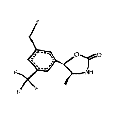 C[C@@H]1NC(=O)O[C@@H]1c1cc(CF)cc(C(F)(F)F)c1